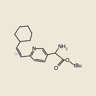 CC(C)(C)OC(=O)C(N)c1ccc(/C=C\C2CCCCC2)nc1